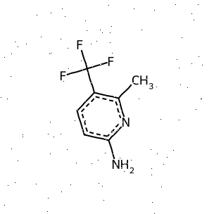 Cc1nc(N)ccc1C(F)(F)F